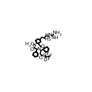 CN1C(=O)C(c2ccccc2)N(C(CC(=O)OC(=O)C(F)(F)F)c2ccccc2)C(=O)c2cc(CCCC(S)NC(=N)N)ccc21